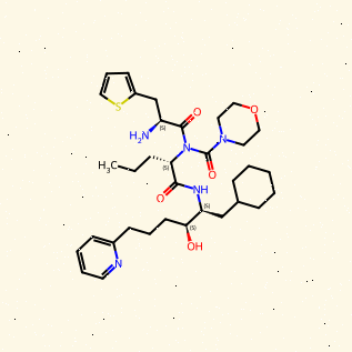 CCC[C@@H](C(=O)N[C@@H](CC1CCCCC1)[C@@H](O)CCCc1ccccn1)N(C(=O)[C@@H](N)Cc1cccs1)C(=O)N1CCOCC1